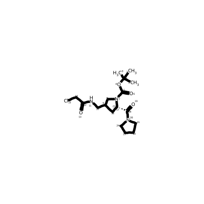 CC(C)(C)OC(=O)N1CC(CNC(=O)CCl)C[C@H]1C(=O)N1CCCC1